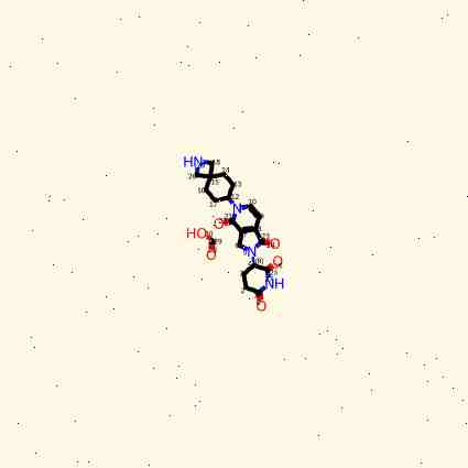 O=C1CC[C@@H](N2Cc3c(ccn(C4CCC5(CC4)CNC5)c3=O)C2=O)C(=O)N1.O=CO